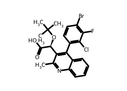 Cc1nc2ccccc2c(-c2ccc(Br)c(F)c2Cl)c1[C@H](OC(C)(C)C)C(=O)O